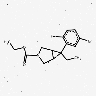 CCOC(=O)N1CC2C(C1)C2(CC)c1cc(Br)ccc1F